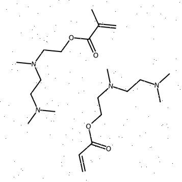 C=C(C)C(=O)OCCN(C)CCN(C)C.C=CC(=O)OCCN(C)CCN(C)C